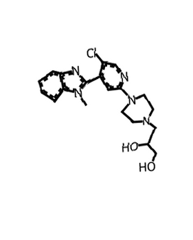 Cn1c(-c2cc(N3CCN(CC(O)CO)CC3)ncc2Cl)nc2ccccc21